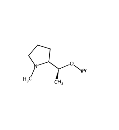 CC(C)O[C@@H](C)C1CCCN1C